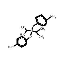 CC(C)[Si](Oc1ccc(N)cc1)(Oc1ccc(N)cc1)C(C)C